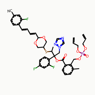 C=CCOP(=O)(OCC=C)OCc1c(C)cccc1C(=O)OC(Cn1cncn1)(c1ccc(F)cc1F)C(C)SC1COC(C=CC=Cc2ccc(C#N)cc2F)OC1